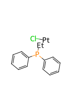 CCP(c1ccccc1)c1ccccc1.[Cl][Pt]